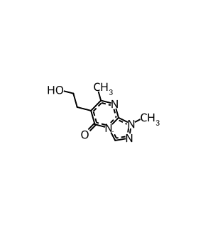 Cc1nc2n(C)ncn2c(=O)c1CCO